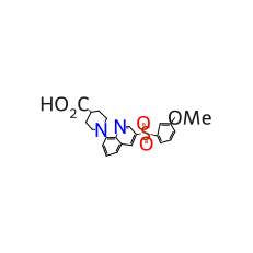 COc1cccc(S(=O)(=O)c2cnc3c(N4CCC(C(=O)O)CC4)cccc3c2)c1